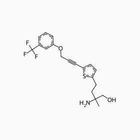 CC(N)(CO)CCc1ccc(C#CCOc2cccc(C(F)(F)F)c2)s1